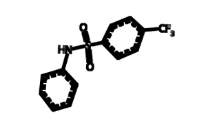 O=S(=O)(Nc1ccccc1)c1ccc(C(F)(F)F)cc1